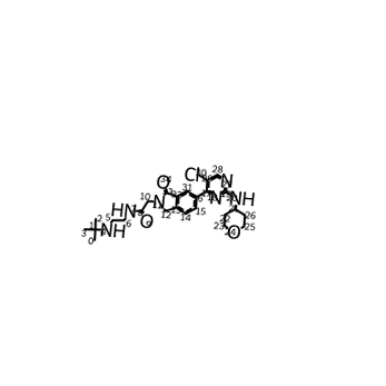 CC(C)(C)NCCNC(=O)CN1Cc2ccc(-c3nc(NC4CCOCC4)ncc3Cl)cc2C1=O